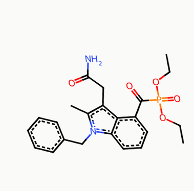 CCOP(=O)(OCC)C(=O)c1cccc2c1c(CC(N)=O)c(C)n2Cc1ccccc1